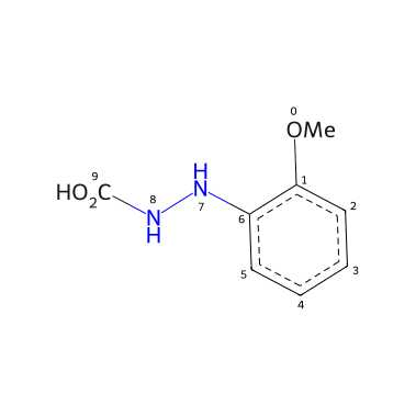 COc1ccccc1NNC(=O)O